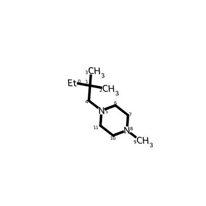 CCC(C)(C)CN1CCN(C)CC1